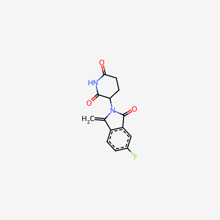 C=C1c2ccc(F)cc2C(=O)N1C1CCC(=O)NC1=O